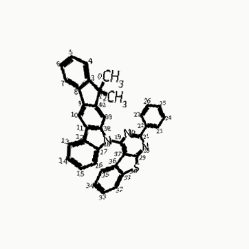 CC1(C)c2ccccc2-c2cc3c4ccccc4n(-c4nc(-c5ccccc5)nc5sc6ccccc6c45)c3cc21